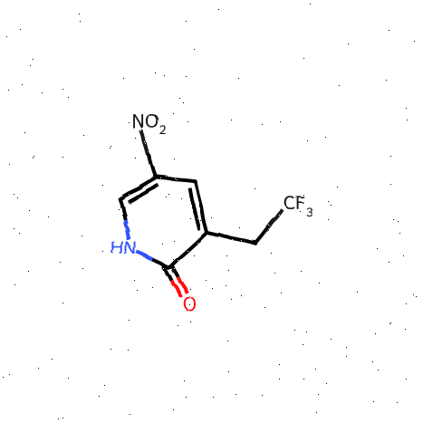 O=c1[nH]cc([N+](=O)[O-])cc1CC(F)(F)F